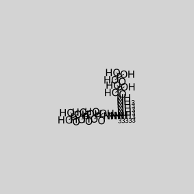 N.N.N.N.N.N.N.N.N.N.O=P(O)(O)O.O=P(O)(O)O.O=P(O)(O)O.O=P(O)(O)O.O=P(O)(O)O